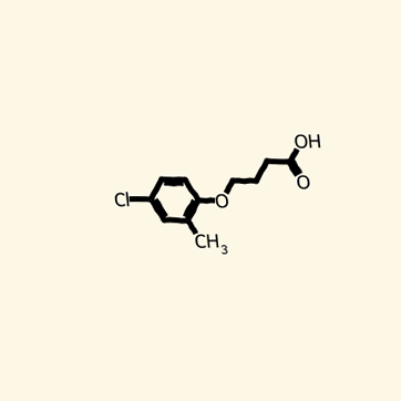 Cc1cc(Cl)ccc1OCCCC(=O)O